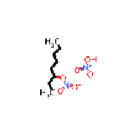 CCCCCC(CC)O[N+](=O)[O-].O=[N+]([O-])O